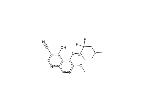 COc1ncc2ncc(C#N)c(O)c2c1O[C@@H]1CCN(C)CC1(F)F